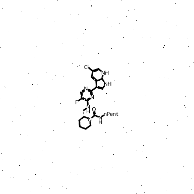 CCCCCNC(=O)N1CCCC[C@@H]1CNc1nc(C2=CNC3NC=C(Cl)C=C23)ncc1F